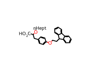 CCCCCCCOC(Cc1ccc(OCCC2c3ccccc3-c3ccccc32)cc1)C(=O)O